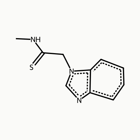 CNC(=S)Cn1cnc2ccccc21